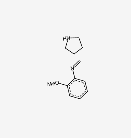 C1CCNC1.C=Nc1ccccc1OC